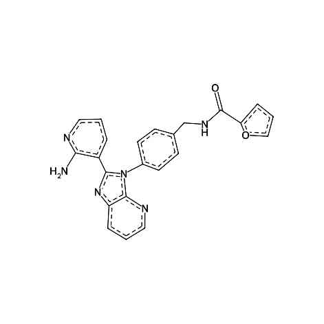 Nc1ncccc1-c1nc2cccnc2n1-c1ccc(CNC(=O)c2ccco2)cc1